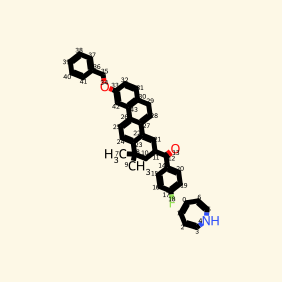 C1=CC=CNC=C1.CC1(C)CC(C(=O)c2ccc(F)cc2)C=c2c1ccc1c2=CCc2ccc(OCc3ccccc3)cc2-1